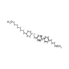 CCCCCCCCC[C@H]1CC[C@H](CCc2cnc(-c3ccc(CCCCC)cc3)nc2)CC1